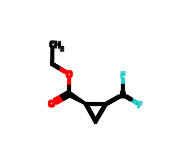 CCOC(=O)[C@@H]1CC1B(F)F